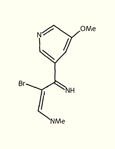 CN/C=C(/Br)C(=N)c1cncc(OC)c1